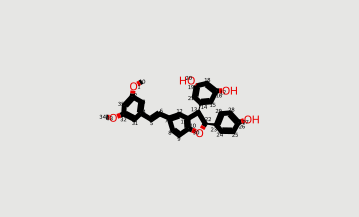 COc1cc(/C=C/c2ccc3c(c2)[C@H](c2cc(O)cc(O)c2)[C@@H](c2ccc(O)cc2)O3)cc(OC)c1